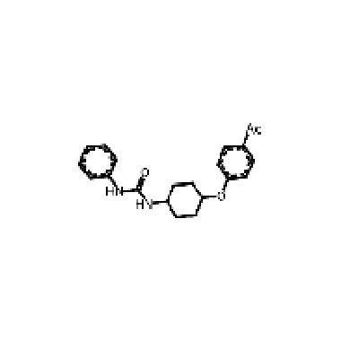 CC(=O)c1ccc(OC2CCC(NC(=O)Nc3ccccc3)CC2)cc1